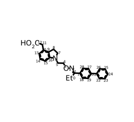 CC/C(=N\OCCN1CCc2c(CC(=O)O)cccc21)c1ccc(-c2ccccc2)cc1